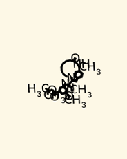 COc1cc(C(=O)OC(C)C)cc2nc(-c3cc4ccc5cc4n3CCCCCCCC(=O)N[C@@H]5C)n(C)c12